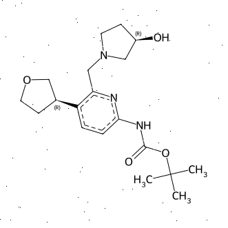 CC(C)(C)OC(=O)Nc1ccc([C@H]2CCOC2)c(CN2CC[C@@H](O)C2)n1